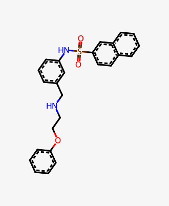 O=S(=O)(Nc1cccc(CNCCOc2ccccc2)c1)c1ccc2ccccc2c1